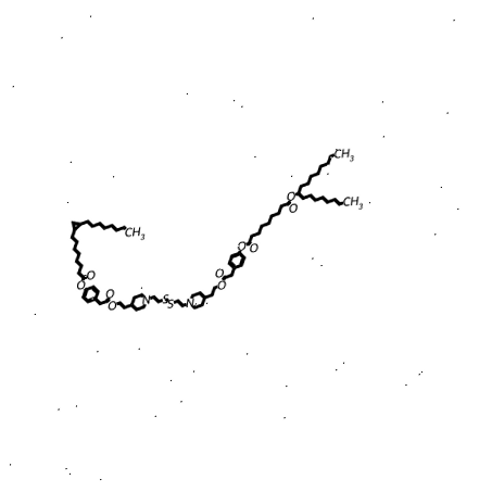 CCCCCCCCC(CCCCCCCC)OC(=O)CCCCCCCC(=O)Oc1ccc(CC(=O)OCCC2CCN(CCSSCCN3CCC(CCOC(=O)Cc4ccc(OC(=O)CCCCCCCC5CC5CCCCCCCC)cc4)CC3)CC2)cc1